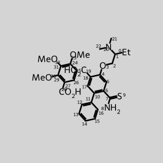 CCC(COc1cc(C(N)=S)c(-c2ccccc2)cc1C(=O)O)N(C)C.COc1ccc(C(=O)O)c(OC)c1OC